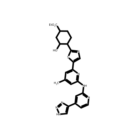 CCOC(=O)C1CCC(c2ncc(-c3cc(C)cc(Nc4cc(-c5c[nH]nn5)ccn4)n3)s2)C(O)C1